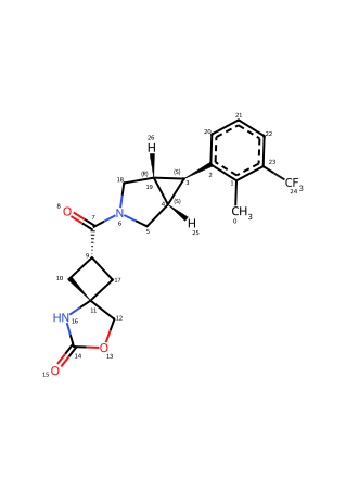 Cc1c([C@H]2[C@@H]3CN(C(=O)[C@H]4C[C@]5(COC(=O)N5)C4)C[C@@H]32)cccc1C(F)(F)F